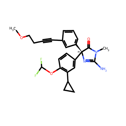 COCCC#Cc1cccc([C@]2(c3ccc(OC(F)F)c(C4CC4)c3)N=C(N)N(C)C2=O)c1